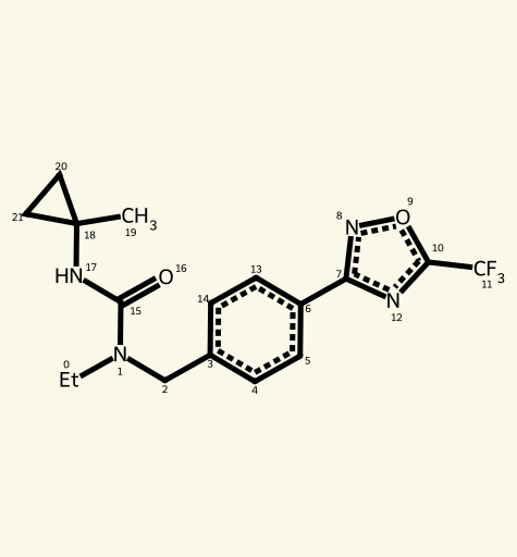 CCN(Cc1ccc(-c2noc(C(F)(F)F)n2)cc1)C(=O)NC1(C)CC1